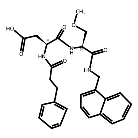 COC[C@H](NC(=O)[C@H](CC(=O)O)NC(=O)CCc1ccccc1)C(=O)NCc1cccc2ccccc12